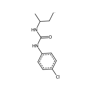 [CH2]CC(C)NC(=O)Nc1ccc(Cl)cc1